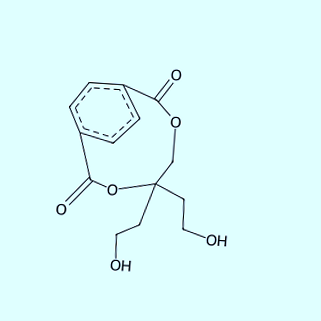 O=C1OCC(CCO)(CCO)OC(=O)c2ccc1cc2